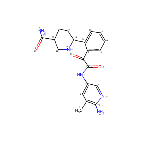 Cc1cc(NC(=O)C(=O)c2ccccc2C2CCC(C(N)=O)CN2)cnc1N